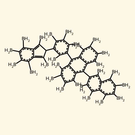 BC1=c2c(B)c(B)c(B)c(B)c2=C(B)C1c1c(B)c(B)c(B)c(-c2c3c(B)c(B)c(B)c(B)c3c(-c3c(B)c(B)c4c(B)c(B)c(B)c(B)c4c3B)c3c(B)c(B)c(B)c(B)c23)c1B